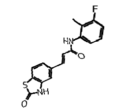 Cc1c(F)cccc1NC(=O)/C=C/c1ccc2sc(=O)[nH]c2c1